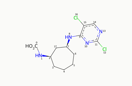 O=C(O)N[C@@H]1CCCC[C@H](Nc2nc(Cl)ncc2Cl)C1